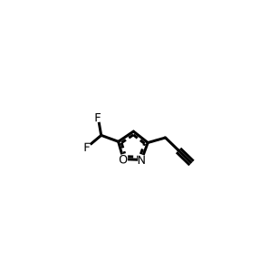 C#CCc1cc(C(F)F)on1